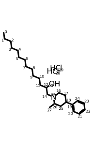 CCCCCCCCCCCCC(O)CN1CCC(c2ccccc2)CC1C.Cl.Cl